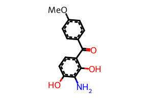 COc1ccc(C(=O)c2ccc(O)c(N)c2O)cc1